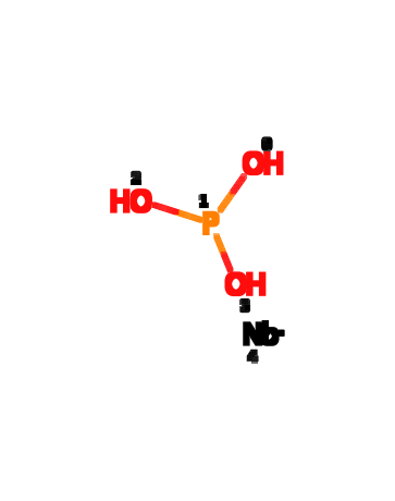 OP(O)O.[Nb]